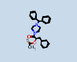 CC(=S)OC(Cc1ccccc1)C(=O)N1CCN(C(c2ccccc2)c2ccccc2)CC1